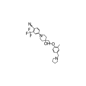 Cc1cc(CN2CCCC2)ccc1OCCC1(O)CCN(c2ccc(C#N)c(C(F)(F)F)c2)CC1